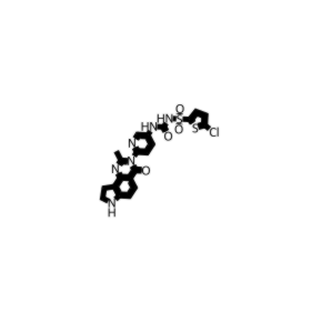 Cc1nc2c3c(ccc2c(=O)n1-c1ccc(NC(=O)NS(=O)(=O)c2ccc(Cl)s2)cn1)NCC3